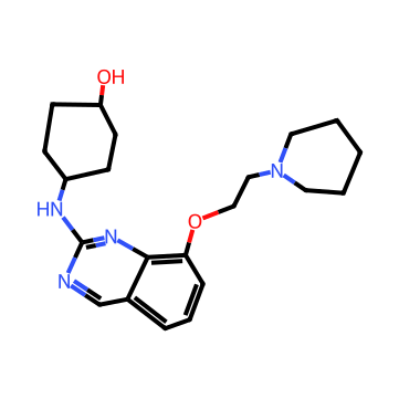 OC1CCC(Nc2ncc3cccc(OCCN4CCCCC4)c3n2)CC1